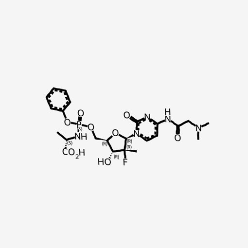 C[C@H](N[P@](=O)(OC[C@H]1O[C@@H](n2ccc(NC(=O)CN(C)C)nc2=O)[C@](C)(F)[C@@H]1O)Oc1ccccc1)C(=O)O